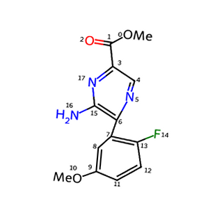 COC(=O)c1cnc(-c2cc(OC)ccc2F)c(N)n1